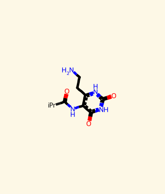 CC(C)C(=O)Nc1c(CCN)[nH]c(=O)[nH]c1=O